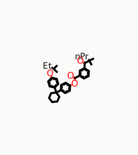 CCCC(C)(C)C(=O)c1cccc(C(=O)Oc2ccc(C3(c4ccc(OC(C)(C)CC)cc4)CCCCC3)cc2)c1